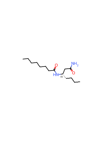 CCCCCCCC(=O)N[C@@H](CCCC)CC(N)=O